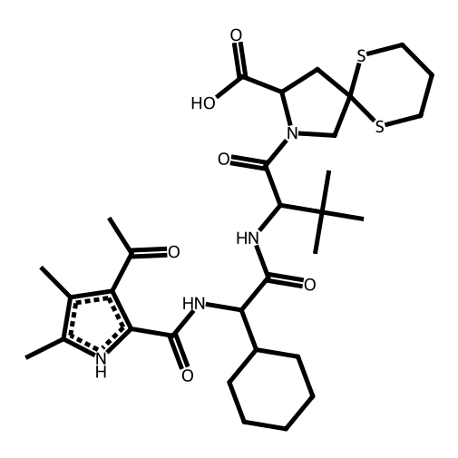 CC(=O)c1c(C(=O)NC(C(=O)NC(C(=O)N2CC3(CC2C(=O)O)SCCCS3)C(C)(C)C)C2CCCCC2)[nH]c(C)c1C